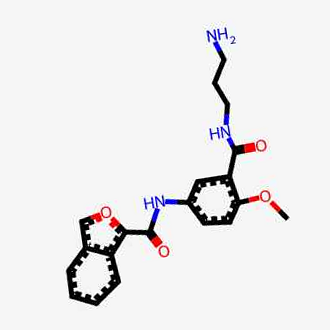 COc1ccc(NC(=O)c2occ3ccccc23)cc1C(=O)NCCCN